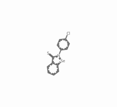 S=c1c2ccccc2[se]n1-c1ccc(Cl)cc1